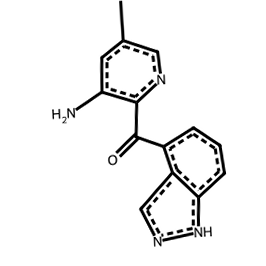 Cc1cnc(C(=O)c2cccc3[nH]ncc23)c(N)c1